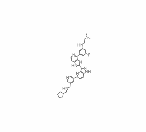 CN(C)CCNc1cc(F)cc(-c2nccc3[nH]c(-c4n[nH]c5ccc(-c6cncc(CNCC7CCCC7)c6)nc45)nc23)c1